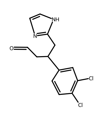 O=CCC(Cc1ncc[nH]1)c1ccc(Cl)c(Cl)c1